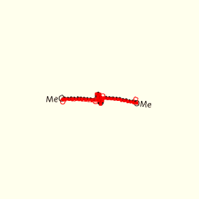 COC(=O)CCCCCCCCCCCCCCCCCCCOc1c2ccccc2c(OCCCCCCCCCCCCCCCCCCCC(=O)OC)c2ccccc12